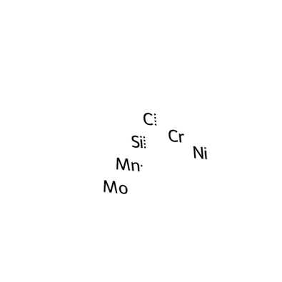 [C].[Cr].[Mn].[Mo].[Ni].[Si]